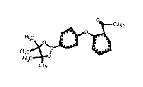 COC(=O)c1ccccc1Oc1ccc(B2OC(C)(C)C(C)(C)O2)cc1